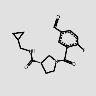 O=Cc1ccc(F)c(C(=O)N2CC[C@@H](C(=O)NCC3CC3)C2)c1